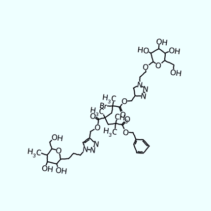 CC1C(CO)OC(CCCn2cc(COC(=O)C(C)(CC(C)(C)C(=O)OCc3ccccc3)CC(C)(Br)C(=O)OCC3CN(CCOC4OC(CO)C(O)C(O)C4O)N=N3)nn2)C(O)C1O